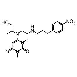 CC(CO)N(CCNCCCc1ccc([N+](=O)[O-])cc1)c1cc(=O)n(C)c(=O)n1C